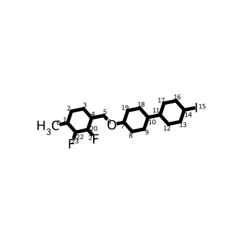 CC1CCC(COC2CCC(C3CCC(I)CC3)CC2)C(F)C1F